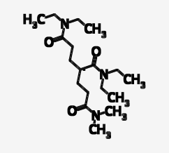 CCN(CC)C(=O)CC[C](CCC(=O)N(C)C)C(=O)N(CC)CC